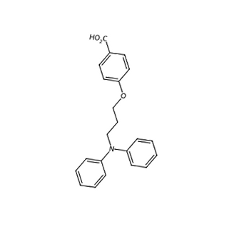 O=C(O)c1ccc(OCCCN(c2ccccc2)c2ccccc2)cc1